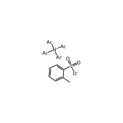 CC(=O)[N+](C(C)=O)(C(C)=O)C(C)=O.Cc1ccccc1S(=O)(=O)[O-]